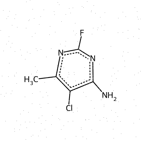 Cc1nc(F)nc(N)c1Cl